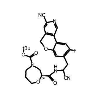 CC(C)(C)OC(=O)N1CCCO[C@H](C(=O)NC(C#N)Cc2cc3c(cc2F)-c2cnc(C#N)cc2CO3)C1